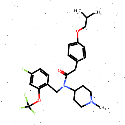 CC(C)COc1ccc(CC(=O)N(Cc2ccc(F)cc2OC(F)(F)F)C2CCN(C)CC2)cc1